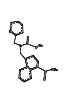 COC(=O)c1ccc(CN(Cc2ccccn2)C(=O)OC(C)(C)C)c2ccccc12